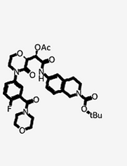 CC(=O)O[C@@H](C(=O)Nc1ccc2c(c1)CCN(C(=O)OC(C)(C)C)C2)[C@H]1OCCN(c2ccc(F)c(C(=O)N3CCOCC3)c2)C1=O